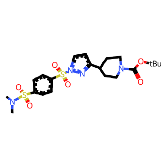 CN(C)S(=O)(=O)c1ccc(S(=O)(=O)n2ccc(C3CCN(C(=O)OC(C)(C)C)CC3)n2)cc1